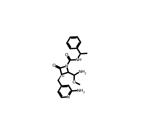 COC(N)C1[C@@H](Cc2ccnc(N)c2)C(=O)N1C(=O)NC(C)c1ccccc1